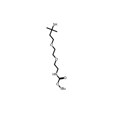 CC(C)(S)CCOCCOCCNC(=O)OC(C)(C)C